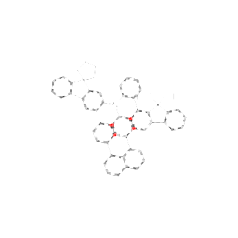 CC1(C)c2ccccc2-c2cccc(-c3ccccc3N(c3ccc(-c4cccc5cccc(-c6ccccc6)c45)cc3)c3ccc4c(c3)C3(CCCC3)c3ccccc3-4)c21